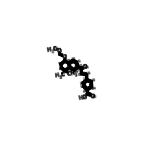 COCOC1CCC(C)(C)c2cc(C(=O)/C=C/c3ccc(C(=O)O)cc3)ccc21